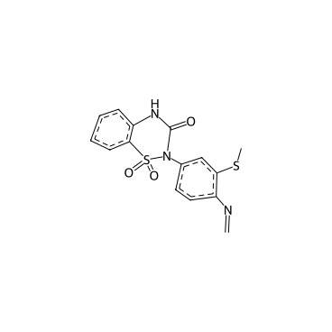 C=Nc1ccc(N2C(=O)Nc3ccccc3S2(=O)=O)cc1SC